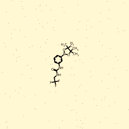 CC1(C)OB(c2cccc(NC(=O)NCC(F)(F)F)c2)OC1(C)C